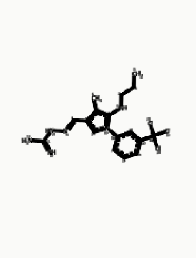 CCCNc1c(C)c(/C=N/NC(=N)N)cn1-c1cccc(C(Cl)(Cl)Cl)c1